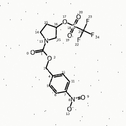 O=C(OCc1ccc([N+](=O)[O-])cc1)N1CCC(OS(=O)(=O)C(F)(F)F)C1